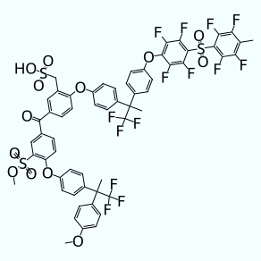 COc1ccc(C(C)(c2ccc(Oc3ccc(C(=O)c4ccc(Oc5ccc(C(C)(c6ccc(Oc7c(F)c(F)c(S(=O)(=O)c8c(F)c(F)c(C)c(F)c8F)c(F)c7F)cc6)C(F)(F)F)cc5)c(CS(=O)(=O)O)c4)cc3S(=O)(=O)OC)cc2)C(F)(F)F)cc1